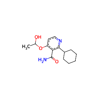 CC(O)Oc1ccnc(C2CCCCC2)c1C(N)=O